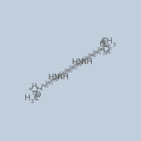 COc1ccccc1CCCCCCCNNCCCCCCCCNNCCCCCCCc1ccccc1OC